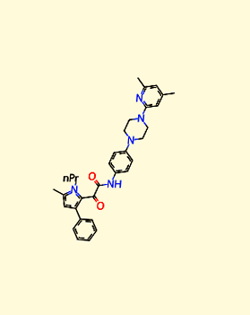 CCCn1c(C)cc(-c2ccccc2)c1C(=O)C(=O)Nc1ccc(N2CCN(c3cc(C)cc(C)n3)CC2)cc1